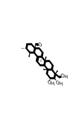 C[C@@H]1CC[C@]2(C=O)CC[C@]3(C)C(=CCC4[C@@]5(C)C[C@@H](O)[C@H](O)[C@@](C)(CO)C5CC[C@]43C)C2[C@H]1C